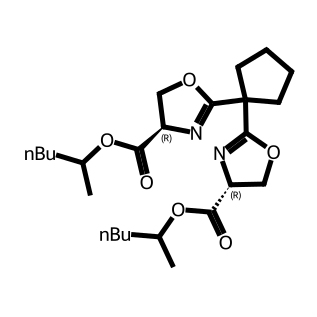 CCCCC(C)OC(=O)[C@H]1COC(C2(C3=N[C@@H](C(=O)OC(C)CCCC)CO3)CCCC2)=N1